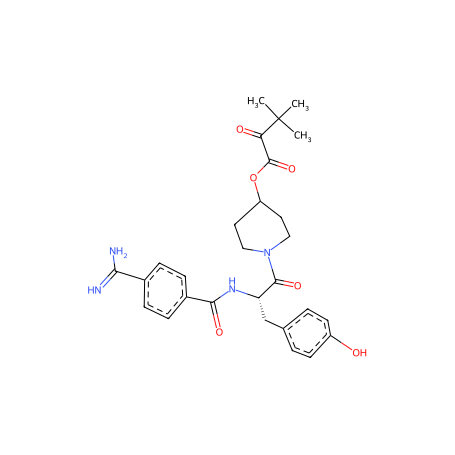 CC(C)(C)C(=O)C(=O)OC1CCN(C(=O)[C@H](Cc2ccc(O)cc2)NC(=O)c2ccc(C(=N)N)cc2)CC1